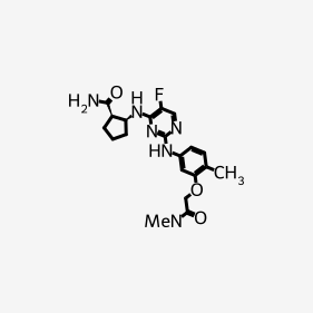 CNC(=O)COc1cc(Nc2ncc(F)c(N[C@H]3CCC[C@H]3C(N)=O)n2)ccc1C